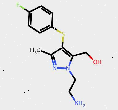 Cc1nn(CCN)c(CO)c1Sc1ccc(F)cc1